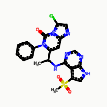 CC(Nc1ncnc2[nH]cc(S(C)(=O)=O)c12)c1cc2ncc(Cl)n2c(=O)n1-c1ccccc1